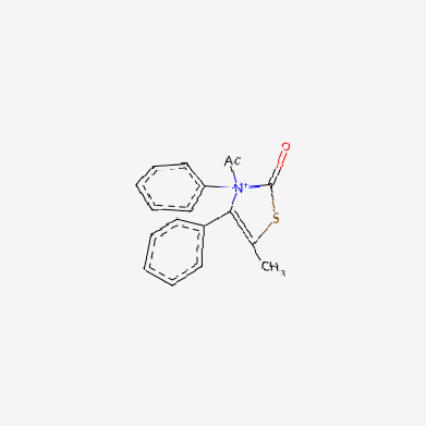 CC(=O)[N+]1(c2ccccc2)C(=O)SC(C)=C1c1ccccc1